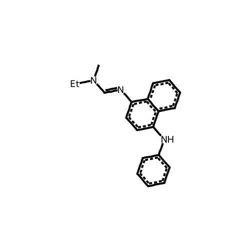 CCN(C)C=Nc1ccc(Nc2ccccc2)c2ccccc12